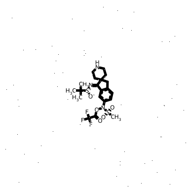 CC(C)(C)[S+]([O-])N=C1c2cc(N(OC(=O)C(F)(F)F)S(C)(=O)=O)ccc2CC12CCNCC2